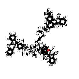 CCN(C(=O)Nc1nc2cc(C3(O)c4ccccc4C(=O)N3Cc3ccccc3)ccc2[nH]1)N(C(=O)OCC#CCN(C(=O)O)c1nc2cc(C3(O)c4ccccc4C(=O)N3c3cccc(C(F)(F)F)c3)ccc2[nH]1)c1nc2cc(C3(O)c4ccccc4C(=O)N3[C@H](C)c3ccccc3)ccc2[nH]1